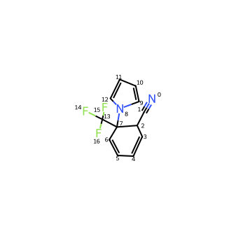 N#CC1C=CC=CC1(n1cccc1)C(F)(F)F